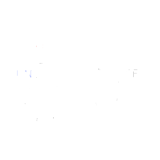 O=C1Nc2ccccc2C1=Cc1cccc(C(F)(F)F)c1